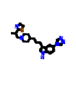 CC(CN1CCC(CCCc2c[nH]c3ccc(-n4cnnc4)cc23)CC1)c1nccs1